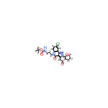 CC(C)(C)OC(=O)NCCCn1c(=O)c2c(CC=O)n(C3CCCCO3)nc2c2cc(Cl)ccc21